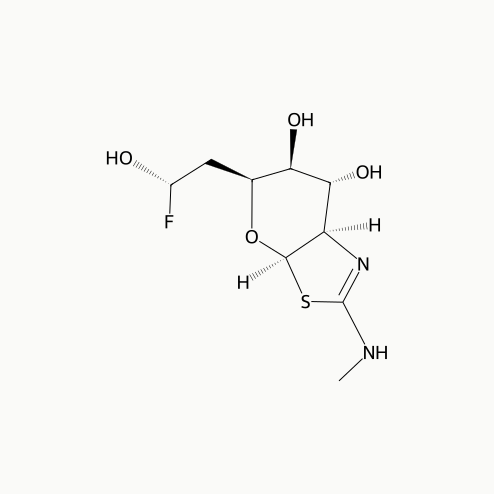 CNC1=N[C@@H]2[C@@H](O)[C@H](O)[C@H](C[C@@H](O)F)O[C@@H]2S1